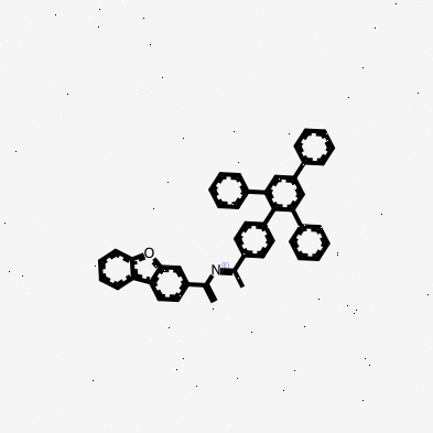 C=C(/N=C(\C)c1ccc(-c2c(-c3ccccc3)cc(-c3ccccc3)cc2-c2ccccc2)cc1)c1ccc2c(c1)oc1ccccc12